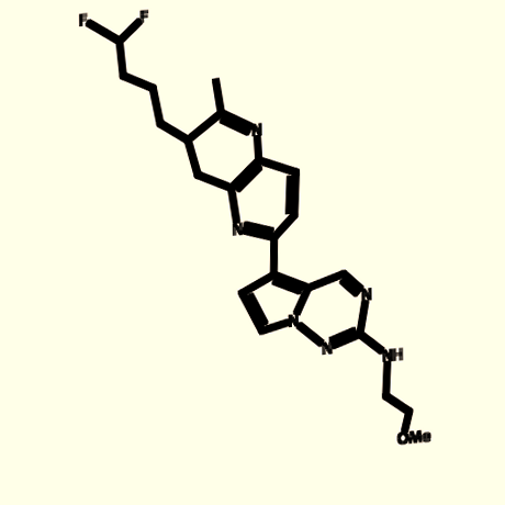 COCCNc1ncc2c(-c3ccc4c(n3)CC(CCCC(F)F)C(C)=N4)ccn2n1